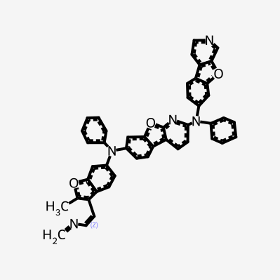 C=N/C=C\c1c(C)oc2cc(N(c3ccccc3)c3ccc4c(c3)oc3nc(N(c5ccccc5)c5ccc6c(c5)oc5cnccc56)ccc34)ccc12